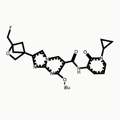 CC[C@@H](C)Oc1nc2nc(C34COC(CF)(C3)C4)cn2cc1C(=O)Nc1cccn(C2CC2)c1=O